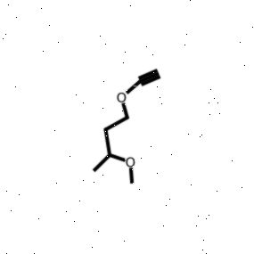 C#COCCC(C)OC